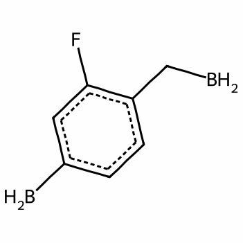 BCc1ccc(B)cc1F